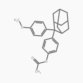 COc1ccc(C2(c3ccc(OC(C)=O)cc3)C3CC4CC(C3)CC2C4)cc1